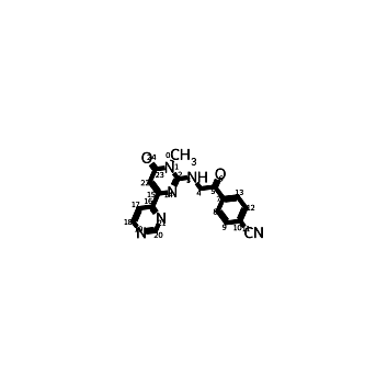 Cn1c(NCC(=O)c2ccc(C#N)cc2)nc(-c2ccncn2)cc1=O